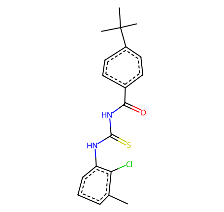 Cc1cccc(NC(=S)NC(=O)c2ccc(C(C)(C)C)cc2)c1Cl